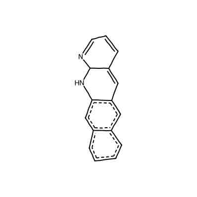 C1=CC2=Cc3cc4ccccc4cc3NC2N=C1